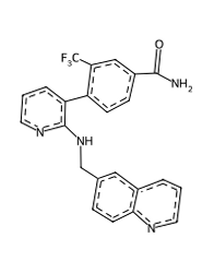 NC(=O)c1ccc(-c2cccnc2NCc2ccc3ncccc3c2)c(C(F)(F)F)c1